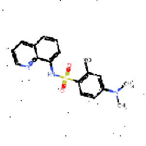 CN(C)c1ccc(S(=O)(=O)Nc2cccc3cccnc23)c(N=O)c1